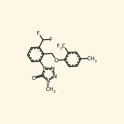 Cc1ccc(OCc2c(C(F)F)cccc2-n2nnn(C)c2=O)c(C(F)(F)F)c1